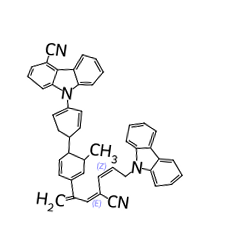 C=C(/C=C(C#N)\C=C/Cn1c2ccccc2c2ccccc21)C1=CC(C)C(C2C=CC(n3c4ccccc4c4c(C#N)cccc43)=CC2)C=C1